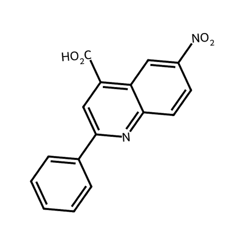 O=C(O)c1cc(-c2ccccc2)nc2ccc([N+](=O)[O-])cc12